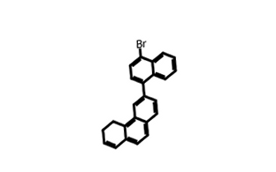 Brc1ccc(-c2ccc3ccc4c(c3c2)CCC=C4)c2ccccc12